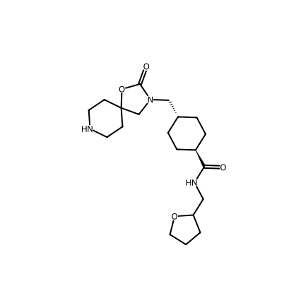 O=C1OC2(CCNCC2)CN1C[C@H]1CC[C@H](C(=O)NCC2CCCO2)CC1